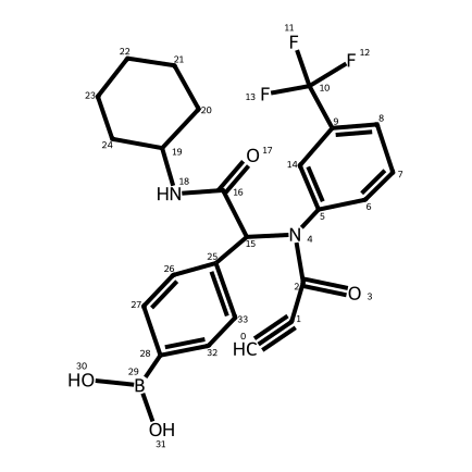 C#CC(=O)N(c1cccc(C(F)(F)F)c1)C(C(=O)NC1CCCCC1)c1ccc(B(O)O)cc1